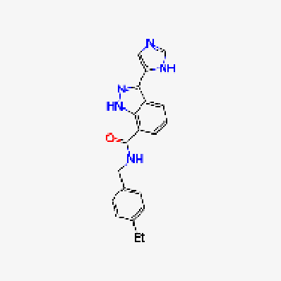 CCc1ccc(CNC(=O)c2cccc3c(-c4cnc[nH]4)n[nH]c23)cc1